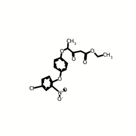 CCOC(=O)CC(=O)C(C)Oc1ccc(Oc2ccc(Cl)cc2[N+](=O)[O-])cc1